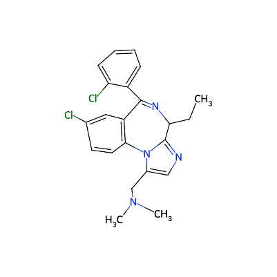 CCC1N=C(c2ccccc2Cl)c2cc(Cl)ccc2-n2c(CN(C)C)cnc21